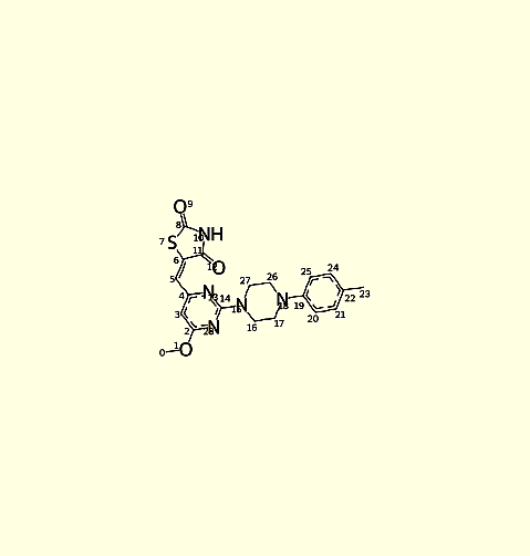 COc1cc(C=C2SC(=O)NC2=O)nc(N2CCN(c3ccc(C)cc3)CC2)n1